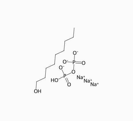 CCCCCCCCCO.O=P([O-])([O-])OP(=O)([O-])O.[Na+].[Na+].[Na+]